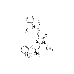 C=C(C=c1sc(=CC=C2C=Cc3ccccc3N2CC)c(=O)n1CC)Sc1ccccc1C